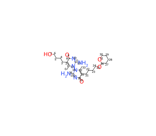 Cc1c(CCCCO)c(=O)nc(N)n1-n1c(N)nc(=O)c(CCCCOC2CCCCO2)c1C